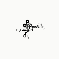 CCCCCN(CCCCC)C(=O)N1CCN(C(=O)N(c2ccccc2)c2cccc(Cl)c2)C(C(=O)NCCCCN(CC)CC)C1